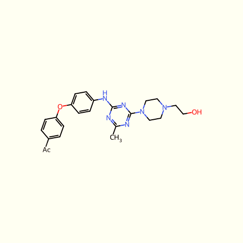 CC(=O)c1ccc(Oc2ccc(Nc3nc(C)nc(N4CCN(CCO)CC4)n3)cc2)cc1